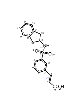 O=C(O)/C=C/c1cccc(S(=O)(=O)NC2Cc3ccccc3C2)c1